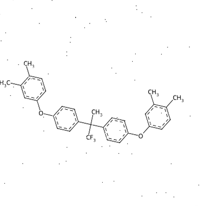 Cc1ccc(Oc2ccc(C(C)(c3ccc(Oc4ccc(C)c(C)c4)cc3)C(F)(F)F)cc2)cc1C